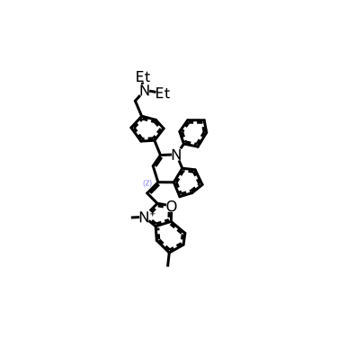 CCN(CC)Cc1ccc(C2=C/C(=C/c3oc4ccc(C)cc4[n+]3C)c3ccccc3N2c2ccccc2)cc1